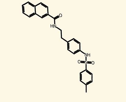 Cc1ccc(S(=O)(=O)Nc2ccc(CCNC(=O)c3ccc4ccccc4c3)cc2)cc1